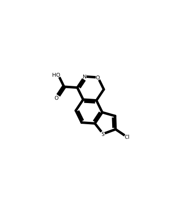 O=C(O)C1=NOCc2c1ccc1sc(Cl)cc21